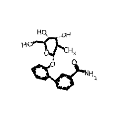 CC1[C@H](Oc2ccccc2-c2cccc(C(N)=O)c2)OC(CO)[C@H](O)[C@@H]1O